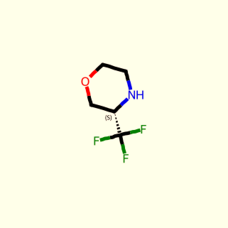 FC(F)(F)[C@@H]1COCCN1